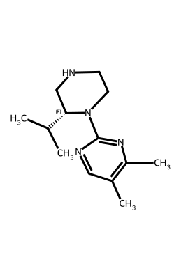 Cc1cnc(N2CCNC[C@H]2C(C)C)nc1C